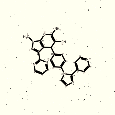 Cn1nc(-c2ncccn2)c2c1OC(N)=C(C#N)C2c1ccc(-n2ccnc2-c2ccncc2)cc1